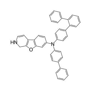 C1=Cc2c(oc3cc(N(c4ccc(-c5ccccc5)cc4)c4ccc(-c5ccccc5-c5ccccc5)cc4)ccc23)CN1